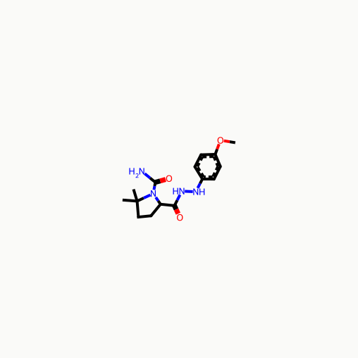 COc1ccc(NNC(=O)C2CCC(C)(C)N2C(N)=O)cc1